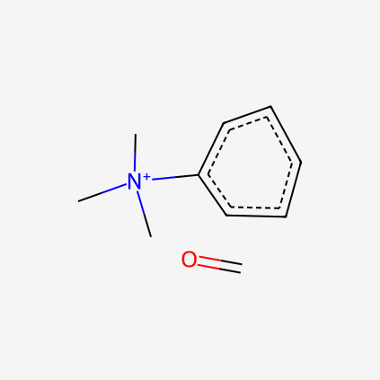 C=O.C[N+](C)(C)c1ccccc1